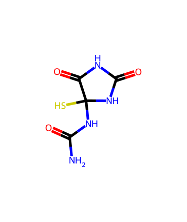 NC(=O)NC1(S)NC(=O)NC1=O